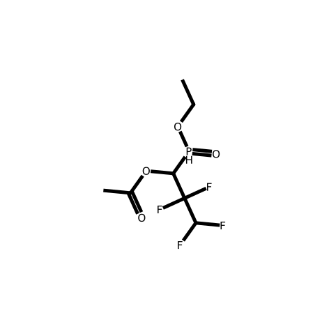 CCO[PH](=O)C(OC(C)=O)C(F)(F)C(F)F